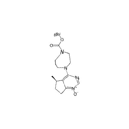 C[C@@H]1CCc2c1c(N1CCN(C(=O)OC(C)(C)C)CC1)nc[n+]2[O-]